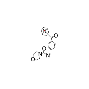 CN(Cc1ccc(C(=O)N2CC3CCC(CC3)C2)cc1)C(=O)N1CCOCC1